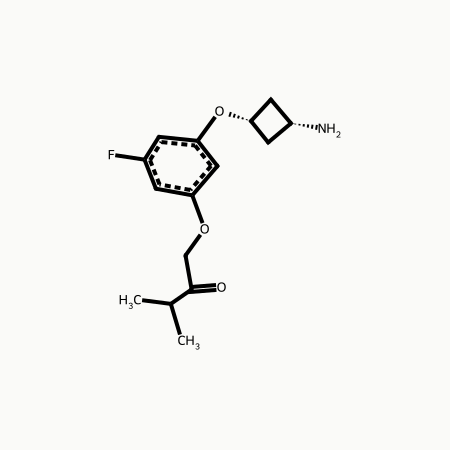 CC(C)C(=O)COc1cc(F)cc(O[C@H]2C[C@@H](N)C2)c1